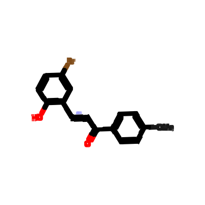 COc1ccc(C(=O)/C=C/c2cc(Br)ccc2O)cc1